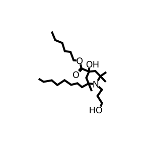 CCCCCCCCC1(C)CC(O)(C(=O)OCCCCCC)CC(C)(C)N1CCCO